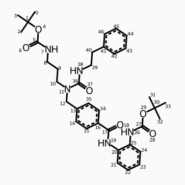 CC(C)(C)OC(=O)NCCCN(Cc1ccc(C(=O)Nc2ccccc2NC(=O)OC(C)(C)C)cc1)C(=O)NCCc1ccccc1